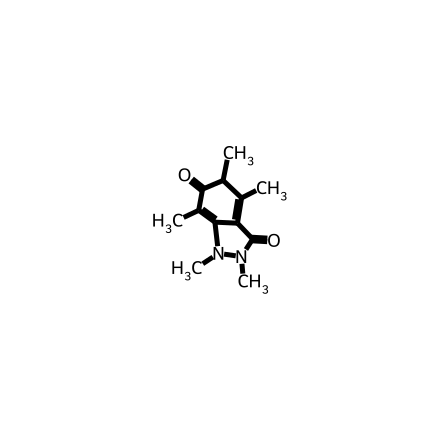 CC1=c2c(=O)n(C)n(C)c2=C(C)C(=O)C1C